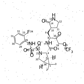 CC1(C)[C@@H]2[C@@H](C(=O)N[C@@H](C[C@@H]3CCNC3=O)C(=O)COC(F)(F)F)N([S+]([O-])S(=O)(=O)Nc3ccccc3F)C[C@@H]21